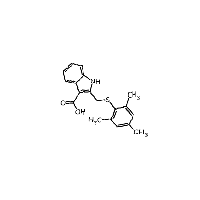 Cc1cc(C)c(SCc2[nH]c3ccccc3c2C(=O)O)c(C)c1